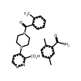 Cc1ccc(C)c(C(N)=O)c1.O=C(O)c1nnccc1N1CCN(C(=O)c2ccccc2C(F)(F)F)CC1